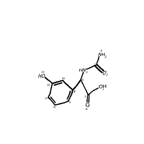 NC(=O)NC(C(=O)O)c1cccc(O)c1